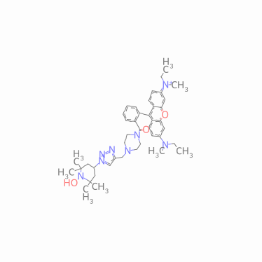 CCN(C)c1ccc2c(-c3ccccc3C(=O)N3CCN(Cc4cn(C5CC(C)(C)N(O)C(C)(C)C5)nn4)CC3)c3cc/c(=[N+](/C)CC)cc-3oc2c1